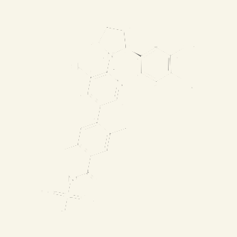 Cc1cc(C(=O)NS(C)(=O)=O)c(F)cc1-c1cnc(N2CCC[C@H]2c2ccc(Cl)c(Cl)c2)c(Cl)c1